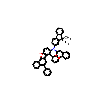 CC1(C)c2ccccc2-c2ccc(N(c3ccc4ccccc4c3)c3ccc4oc5c6ccccc6c(-c6ccccc6)cc5c4c3-c3ccccc3)cc21